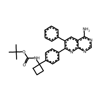 CC(C)(C)OC(=O)NC1(c2ccc(-c3nc4ncnc(N)c4cc3-c3ccccc3)cc2)CCC1